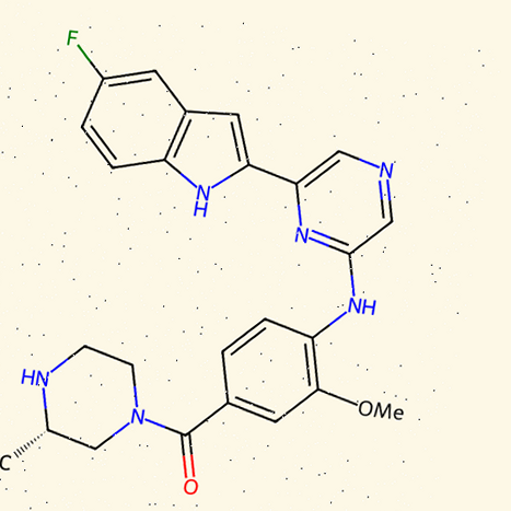 COc1cc(C(=O)N2CCN[C@@H](C)C2)ccc1Nc1cncc(-c2cc3cc(F)ccc3[nH]2)n1